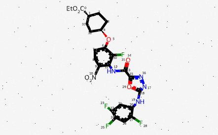 CCOC(=O)[C@H]1CC[C@@H](Oc2ccc([N+](=O)[O-])c(NC(=O)c3nnc(Nc4cc(F)c(F)cc4F)o3)c2F)CC1